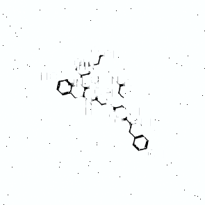 NC(=O)CC[C@H](NC(=O)[C@@H](N)Cc1ccc(O)cc1)C(=O)NCC(=O)N[C@@H](Cc1ccc(O)cc1)C(=O)N[C@@H](CO)C(=O)NCC(=O)O